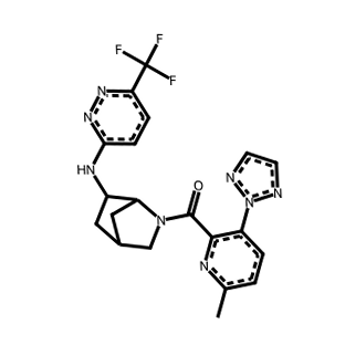 Cc1ccc(-n2nccn2)c(C(=O)N2CC3CC(Nc4ccc(C(F)(F)F)nn4)C2C3)n1